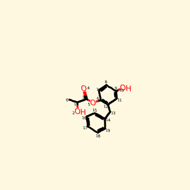 CC(O)C(=O)Oc1ccc(O)cc1Cc1ccccc1